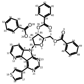 O=C(OC[C@H]1O[C@@H](n2c3cccnc3c3c(-c4ccsc4)ncnc32)[C@H](OC(=O)c2ccccc2)[C@@H]1OC(=O)c1ccccc1)c1ccccc1